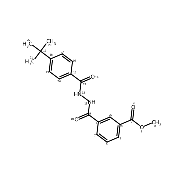 COC(=O)c1cccc(C(=O)NNC(=O)c2ccc(C(C)(C)C)cc2)c1